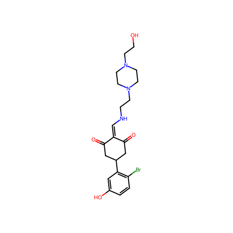 O=C1CC(c2cc(O)ccc2Br)CC(=O)C1=CNCCN1CCN(CCO)CC1